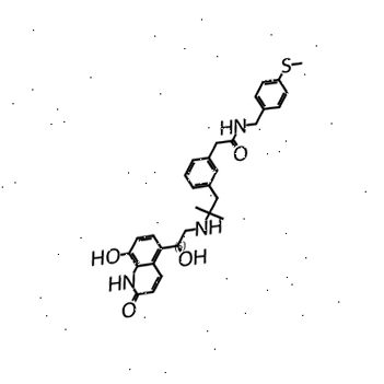 CSc1ccc(CNC(=O)Cc2cccc(CC(C)(C)NC[C@@H](O)c3ccc(O)c4[nH]c(=O)ccc34)c2)cc1